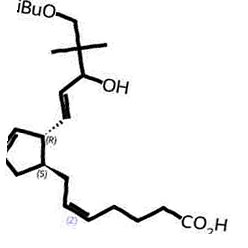 CC(C)COCC(C)(C)C(O)C=C[C@H]1C=CC[C@@H]1C/C=C\CCCC(=O)O